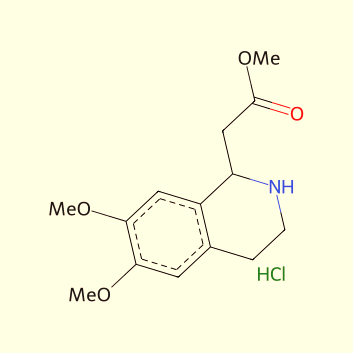 COC(=O)CC1NCCc2cc(OC)c(OC)cc21.Cl